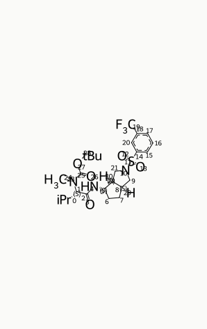 CC(C)[C@@H](C(=O)N[C@H]1CC[C@@H]2CN(S(=O)(=O)c3cccc(C(F)(F)F)c3)C[C@@H]21)N(C)C(=O)OC(C)(C)C